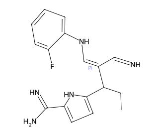 CCC(/C(C=N)=C/Nc1ccccc1F)c1ccc(C(=N)N)[nH]1